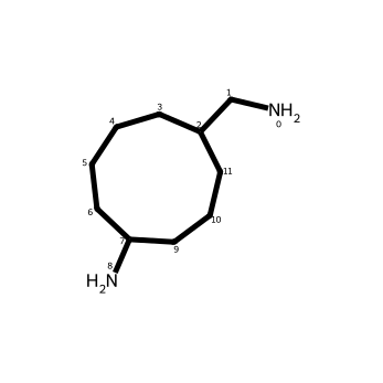 NCC1CCCCC(N)CCC1